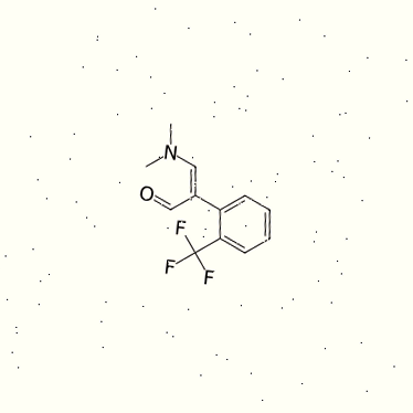 CN(C)C=C(C=O)c1ccccc1C(F)(F)F